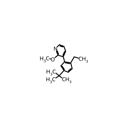 CCc1ccc(C(C)(C)C)cc1-c1cccnc1OC